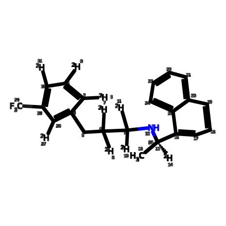 [2H]c1c([2H])c(CC([2H])([2H])C([2H])([2H])N[C@]([2H])(C)c2cccc3ccccc23)c([2H])c(C(F)(F)F)c1[2H]